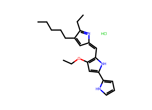 CCCCCC1=CC(=Cc2[nH]c(-c3ccc[nH]3)cc2OCC)N=C1CC.Cl